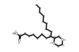 CCCCCCCCC(CCCCCCC(=O)O)C1COCCO1